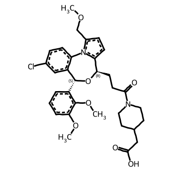 COCc1ccc2n1-c1ccc(Cl)cc1[C@@H](c1cccc(OC)c1OC)O[C@@H]2CCC(=O)N1CCC(CC(=O)O)CC1